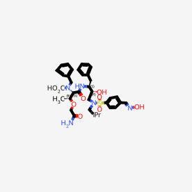 CC(C)CN(C[C@@H](O)[C@H](Cc1ccccc1)NC(=O)[C@H]([C@@H](C)OCC(N)=O)N(Cc1ccccc1)C(=O)O)S(=O)(=O)c1ccc(C=NO)cc1